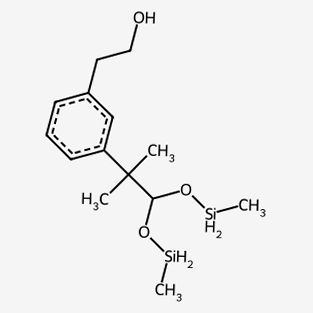 C[SiH2]OC(O[SiH2]C)C(C)(C)c1cccc(CCO)c1